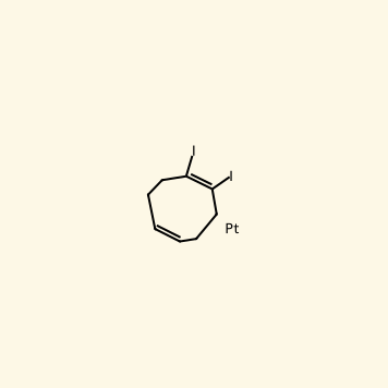 I/C1=C(\I)CC/C=C\CC1.[Pt]